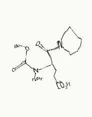 CCCN(C(=O)OC(C)(C)C)C(CC(=O)O)C(=O)N1CCCCC1